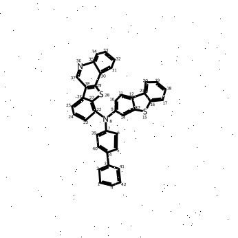 c1ccc(-c2ccc(N(c3ccc4c(c3)sc3ccccc34)c3cccc4c3sc3c5ccccc5ncc43)cc2)cc1